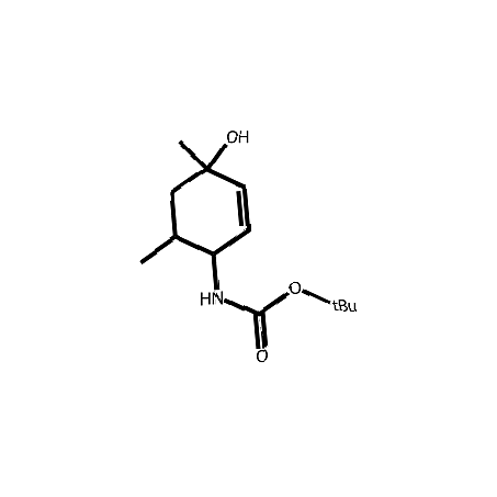 CC1CC(C)(O)C=CC1NC(=O)OC(C)(C)C